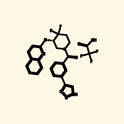 O=C(O)C(F)(F)F.O=C(c1cccc(-c2c[nH]nn2)c1)N1CCC(F)(F)[C@@H](Oc2ccc3ccccc3n2)C1